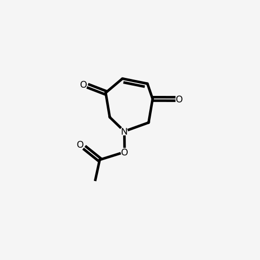 CC(=O)ON1CC(=O)C=CC(=O)C1